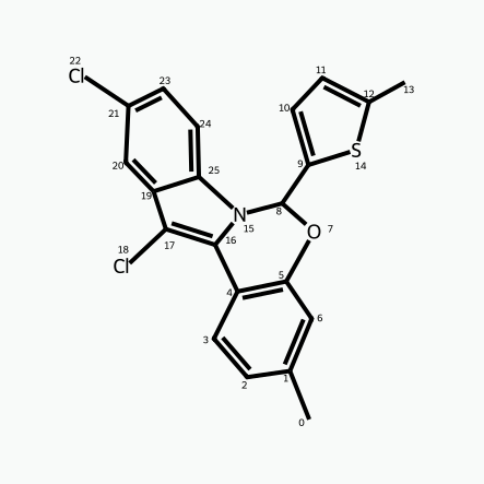 Cc1ccc2c(c1)OC(c1ccc(C)s1)n1c-2c(Cl)c2cc(Cl)ccc21